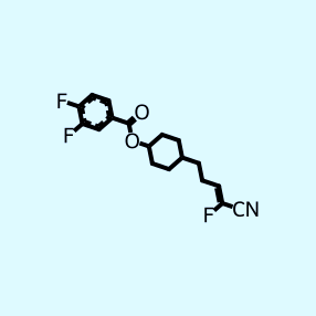 N#CC(F)=CCCC1CCC(OC(=O)c2ccc(F)c(F)c2)CC1